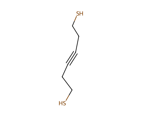 SCCC#CCCS